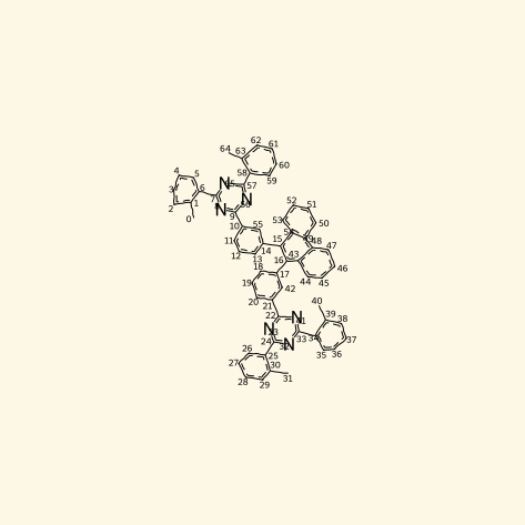 Cc1ccccc1-c1nc(-c2cccc(-c3c(-c4cccc(-c5nc(-c6ccccc6C)nc(-c6ccccc6C)n5)c4)c4ccccc4c4ccccc34)c2)nc(-c2ccccc2C)n1